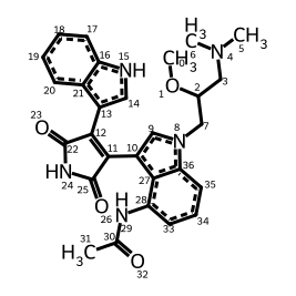 COC(CN(C)C)Cn1cc(C2=C(c3c[nH]c4ccccc34)C(=O)NC2=O)c2c(NC(C)=O)cccc21